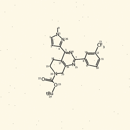 Cn1ccc(-c2nc(-c3cccc(C(F)(F)F)c3)nc3c2CCN(C(=O)OC(C)(C)C)C3)n1